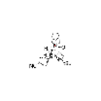 CN(C(=O)c1cc(C(C)(C)C)nn1C)C1C2CCC1CN(CCOc1ccc(C#N)cc1)C2